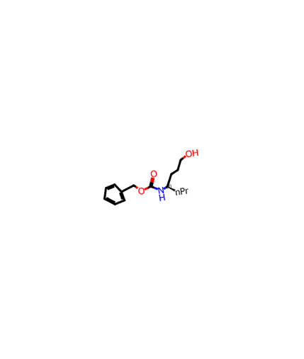 CCC[C@H](CCCO)NC(=O)OCc1ccccc1